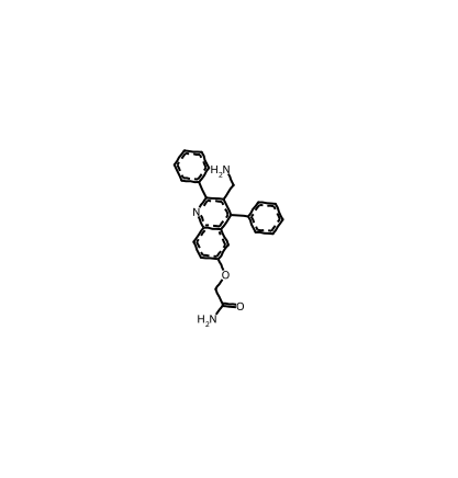 NCc1c(-c2ccccc2)nc2ccc(OCC(N)=O)cc2c1-c1ccccc1